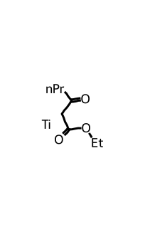 CCCC(=O)CC(=O)OCC.[Ti]